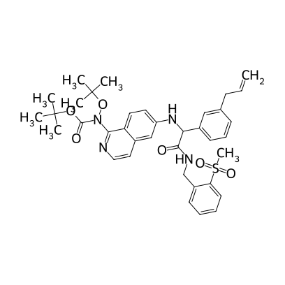 C=CCc1cccc(C(Nc2ccc3c(N(OC(C)(C)C)C(=O)OC(C)(C)C)nccc3c2)C(=O)NCc2ccccc2S(C)(=O)=O)c1